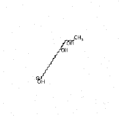 CC/C=C\C[C@H](O)\C=C/C=C/C=C/C(O)C/C=C/C/C=C/CCCCCCCCCCCCCCC(=O)O